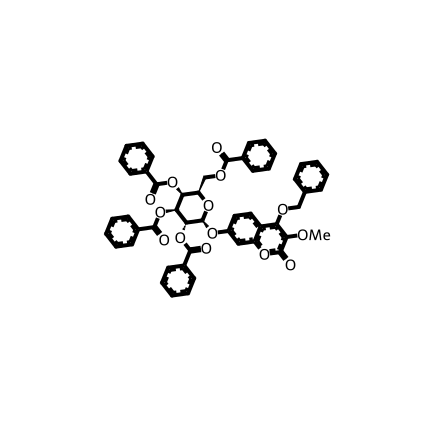 COc1c(OCc2ccccc2)c2ccc(O[C@@H]3O[C@H](COC(=O)c4ccccc4)[C@H](OC(=O)c4ccccc4)[C@H](OC(=O)c4ccccc4)[C@H]3OC(=O)c3ccccc3)cc2oc1=O